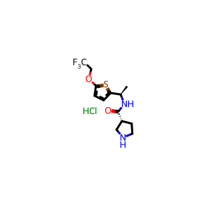 C[C@@H](NC(=O)[C@@H]1CCNC1)c1ccc(OCC(F)(F)F)s1.Cl